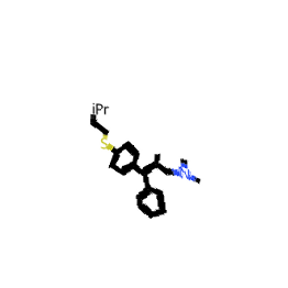 CC(CN(C)C)=C(c1ccccc1)c1ccc(SCCC(C)C)cc1